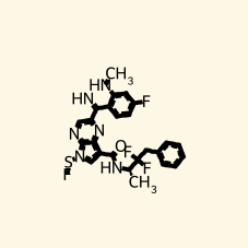 CNc1cc(F)ccc1C(=N)c1cnc2c(n1)c(C(=O)N[C@H](C)C(F)(F)Cc1ccccc1)cn2SF